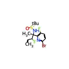 C=C[C@H](F)[C@](C)(N[S@+]([O-])C(C)(C)C)c1nc(Br)ccc1F